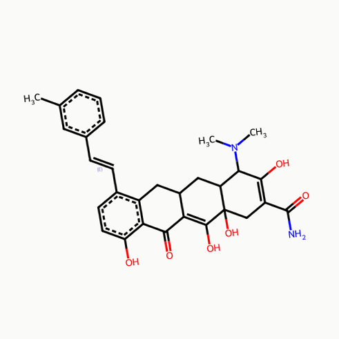 Cc1cccc(/C=C/c2ccc(O)c3c2CC2CC4C(N(C)C)C(O)=C(C(N)=O)CC4(O)C(O)=C2C3=O)c1